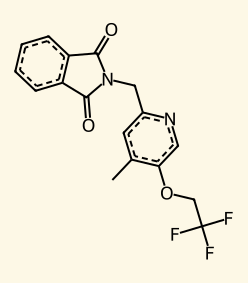 Cc1cc(CN2C(=O)c3ccccc3C2=O)ncc1OCC(F)(F)F